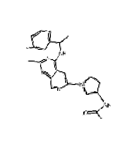 CC(=O)N[C@@H]1CCN(c2cc3c(NC(C)c4cccc(C)c4)nc(C)nc3cn2)C1